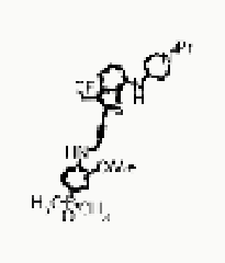 COc1cc(P(C)(C)=O)ccc1NCC#Cc1sc2c(NC3CCN(C(C)C)CC3)cccc2c1CC(F)(F)F